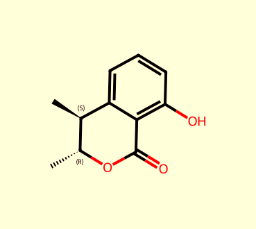 C[C@H]1OC(=O)c2c(O)cccc2[C@@H]1C